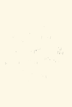 N.N.N.N.O=P(O)(O)OP(=O)(O)OP(=O)(O)OP(=O)(O)O